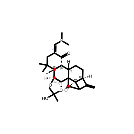 C=C1C2C(=O)C34[C@H]2[C@H]1CC[C@H]3[C@@]12CO[C@@]4(OC(C)(C)O)[C@@H](O)[C@@H]1C(C)(C)C/C(=C/N(C)C)C2=O